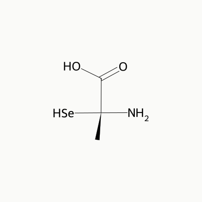 C[C@@](N)([SeH])C(=O)O